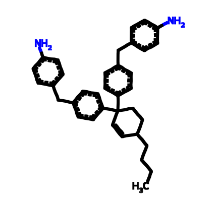 CCCCC1C=CC(c2ccc(Cc3ccc(N)cc3)cc2)(c2ccc(Cc3ccc(N)cc3)cc2)CC1